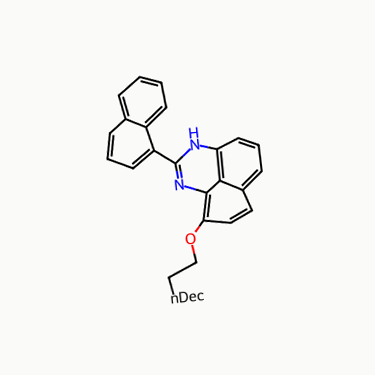 CCCCCCCCCCCCOc1ccc2cccc3c2c1N=C(c1cccc2ccccc12)N3